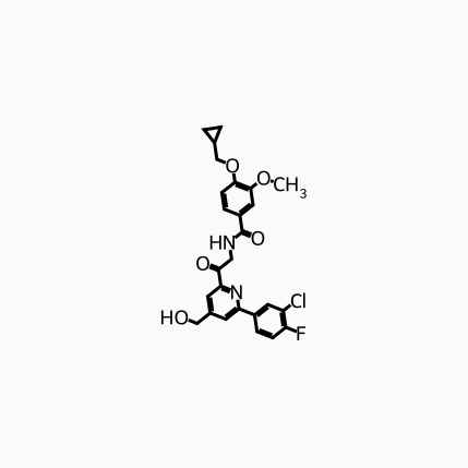 COc1cc(C(=O)NCC(=O)c2cc(CO)cc(-c3ccc(F)c(Cl)c3)n2)ccc1OCC1CC1